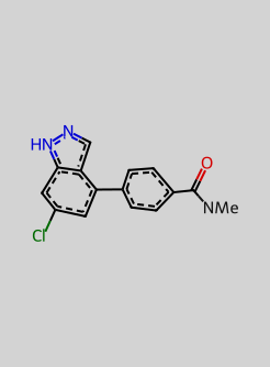 CNC(=O)c1ccc(-c2cc(Cl)cc3[nH]ncc23)cc1